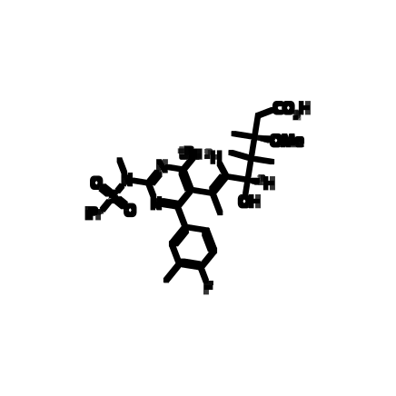 [2H]/C(=C(/C)c1c(-c2ccc(F)c(C)c2)nc(N(C)S(=O)(=O)C(C)C)nc1C(C)(C)C)[C@@]([2H])(O)C(C)(C)[C@](C)(CC(=O)O)OC